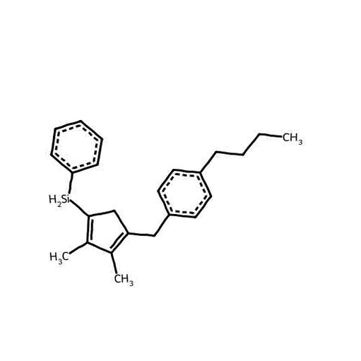 CCCCc1ccc(CC2=C(C)C(C)=C([SiH2]c3ccccc3)C2)cc1